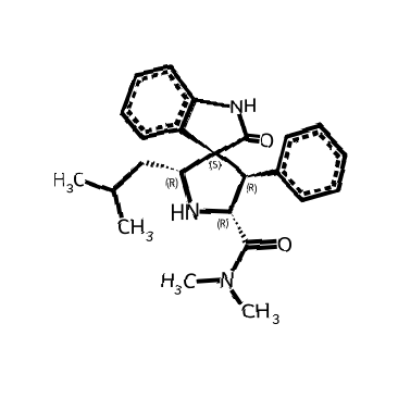 CC(C)C[C@H]1N[C@@H](C(=O)N(C)C)[C@H](c2ccccc2)[C@@]12C(=O)Nc1ccccc12